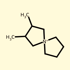 CC1C[N+]2(CCCC2)CC1C